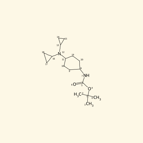 CC(C)(C)OC(=O)NC1CCC(N(C2CC2)C2CC2)CC1